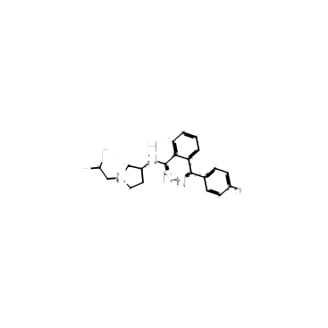 FC(F)CN1CCC(Nc2nnc(-c3ccc(Cl)cc3)c3ccccc23)C1